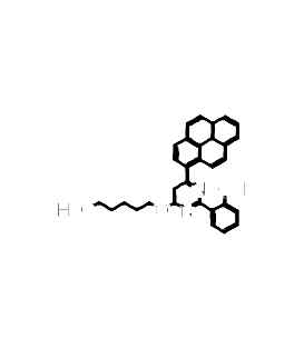 CCCCCCOC1CC(c2ccc3c4c2C=CC2=CC=CC(C=C3)C24)=NC(c2ccccc2O)=N1